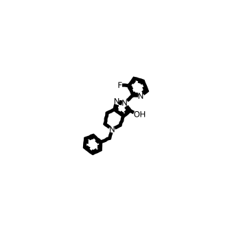 Oc1c2c(nn1-c1ncccc1F)CCN(Cc1ccccc1)C2